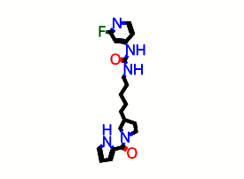 O=C(NCCCCCC1CCN(C(=O)c2ccc[nH]2)C1)Nc1ccnc(F)c1